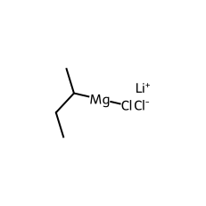 CC[CH](C)[Mg][Cl].[Cl-].[Li+]